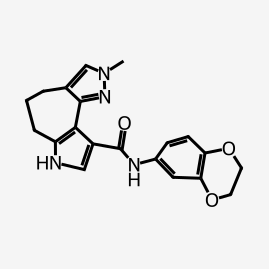 Cn1cc2c(n1)-c1c(C(=O)Nc3ccc4c(c3)OCCO4)c[nH]c1CCC2